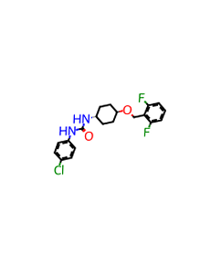 O=C(Nc1ccc(Cl)cc1)N[C@H]1CC[C@H](OCc2c(F)cccc2F)CC1